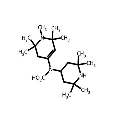 CN1C(C)(C)C=C(N(C(=O)O)C2CC(C)(C)NC(C)(C)C2)CC1(C)C